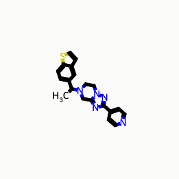 CC(c1ccc2sccc2c1)N1CCn2nc(-c3ccncc3)nc2C1